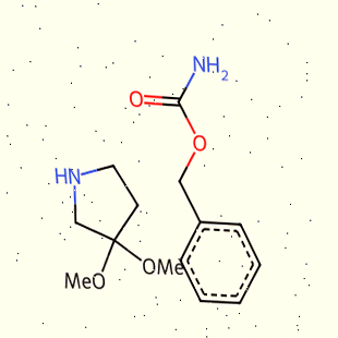 COC1(OC)CCNC1.NC(=O)OCc1ccccc1